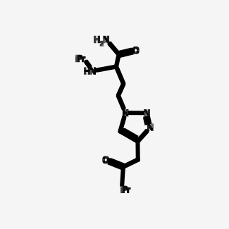 CC(C)NC(CCn1cc(CC(=O)C(C)C)nn1)C(N)=O